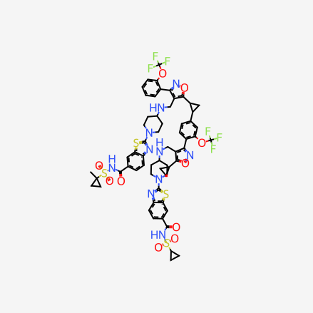 CC1(S(=O)(=O)NC(=O)c2ccc3nc(N4CCC(NCc5c(-c6ccccc6OC(F)(F)F)noc5C5CC5c5ccc(-c6noc(C7CC7)c6CNC6CCN(c7nc8ccc(C(=O)NS(=O)(=O)C9CC9)cc8s7)CC6)c(OC(F)(F)F)c5)CC4)sc3c2)CC1